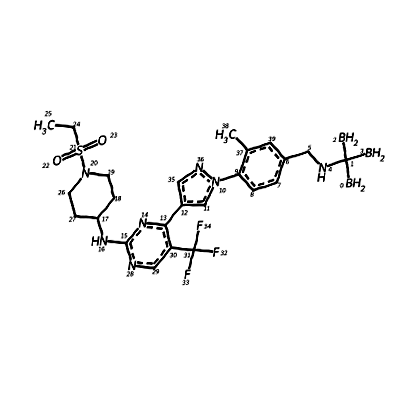 BC(B)(B)NCc1ccc(-n2cc(-c3nc(NC4CCN(S(=O)(=O)CC)CC4)ncc3C(F)(F)F)cn2)c(C)c1